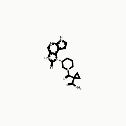 NC(=O)C1(C(=O)N2CCC[C@@H](n3c(=O)[nH]c4cnc5[nH]ccc5c43)C2)CC1